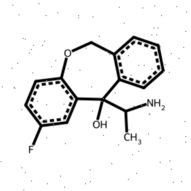 CC(N)C1(O)c2ccccc2COc2ccc(F)cc21